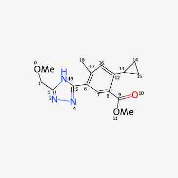 COCc1nnc(-c2cc(C(=O)OC)c(C3CC3)cc2C)[nH]1